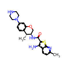 Cc1ccc2c(N)c(C(=O)N[C@@H]3COc4cc(N5CCNCC5)ccc4[C@H]3C)sc2n1